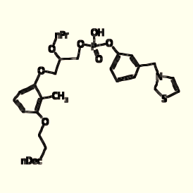 CCCCCCCCCCCCOc1cccc(OCC(COP(=O)(O)Oc2cccc(CN3C=CSC3)c2)OCCC)c1C